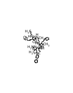 CCCCNc1nc(NC(C)CCNc2nc(NC(CCC)Nc3nc(N)nc(C)c3CCCN3CCN(c4ccccc4)CC3)nc(C)c2CCCN2CCSCC2)nc(C)c1C#CCN1CCOCC1